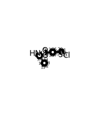 O=C(O[C@@H]1CNCC[C@H]1c1ccccc1)c1ccc(-c2ccc(Cl)s2)cc1